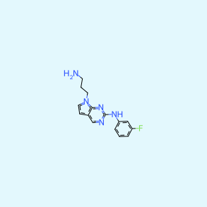 NCCCn1ccc2cnc(Nc3cccc(F)c3)nc21